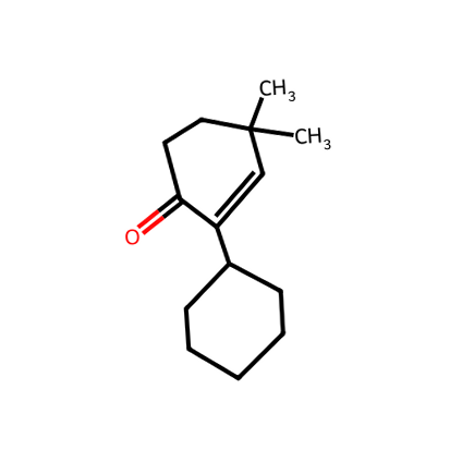 CC1(C)C=C(C2CCCCC2)C(=O)CC1